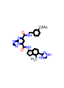 COc1cccc(CNC(=O)c2cc(C(=O)N[C@H]3CCc4c3ccc(C3=NNCN3)c4C)n3ncnc3n2)c1